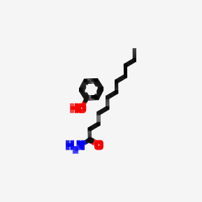 CCCCCCCCCCCC(N)=O.Oc1ccccc1